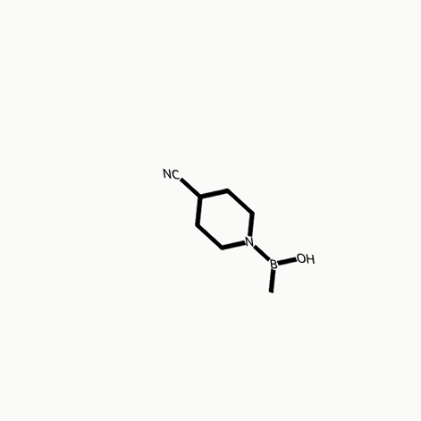 CB(O)N1CCC(C#N)CC1